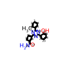 Cc1ccccc1-c1nc(-c2cccc(C(N)=O)c2)nc(-c2ccccc2O)n1